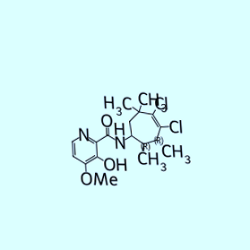 COc1ccnc(C(=O)NC2CC(C)(C)C(Cl)=C(Cl)[C@H](C)[C@H]2C)c1O